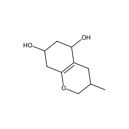 CC1COC2=C(C1)C(O)CC(O)C2